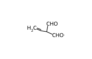 C=CC([C]=O)C=O